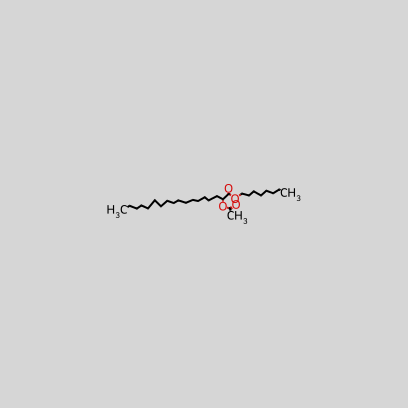 CCCCCCCCCCCCCCCCC(OC(C)=O)C(=O)OCCCCCCCC